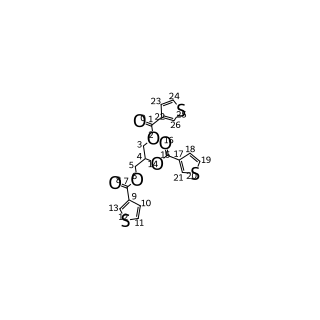 O=C(OCC(COC(=O)c1ccsc1)OC(=O)c1ccsc1)c1ccsc1